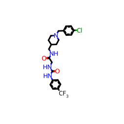 O=C(CNC(=O)Nc1ccc(C(F)(F)F)cc1)NCC1CCN(Cc2ccc(Cl)cc2)CC1